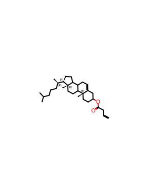 C=CCC(=O)OC1CC[C@@]2(C)C(=CCC3C2CC[C@@]2(C)C3CC[C@@H]2[C@H](C)CCCC(C)C)C1